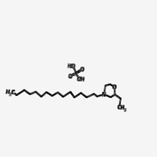 CCCCCCCCCCCCCCCCN1CCOC(CC)C1.O=S(=O)(O)O